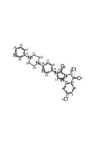 CCC(C(=O)c1ccc(Cl)cc1)n1ncn(-c2ccc(N3CCN(c4cccnc4)CC3)nc2)c1=O